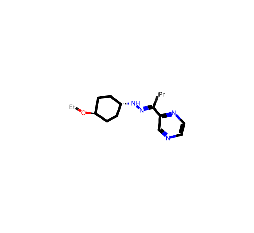 CCO[C@H]1CC[C@H](N/N=C(/c2cnccn2)C(C)C)CC1